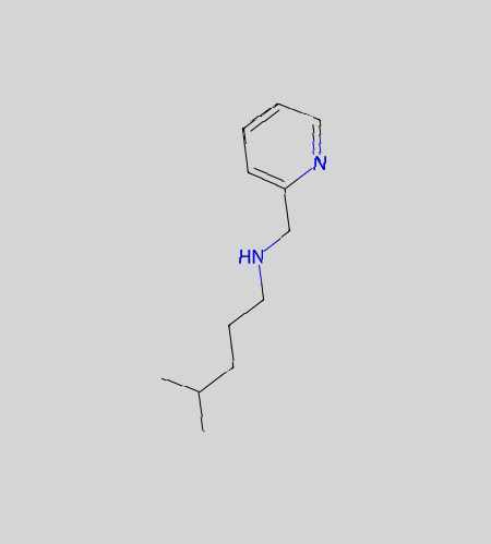 CC(C)CCCNCc1ccccn1